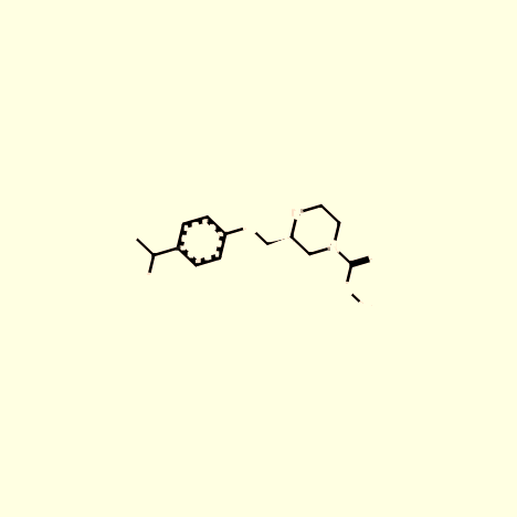 CC(O)c1ccc(OC[C@@H]2CN(C(=O)OC(C)(C)C)CCN2)cc1